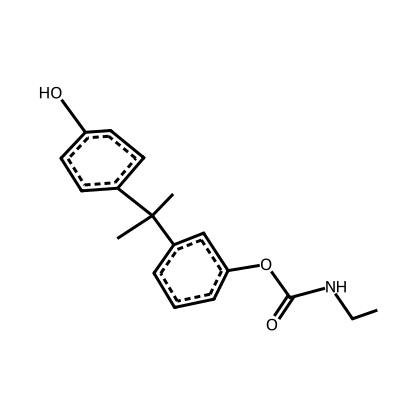 CCNC(=O)Oc1cccc(C(C)(C)c2ccc(O)cc2)c1